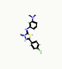 CN(C)c1cccc(/N=c2\sc(-c3ccc(Cl)cc3)nn2C)c1